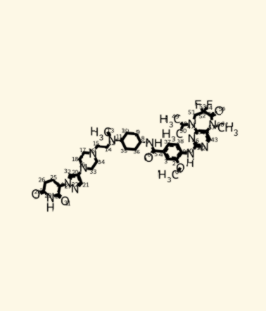 COc1cc(C(=O)N[C@H]2CC[C@H](N(C)CCN3CCN(c4cnn(C5CCC(=O)NC5=O)c4)CC3)CC2)ccc1Nc1ncc2c(n1)N(C(C)C)CC(F)(F)C(=O)N2C